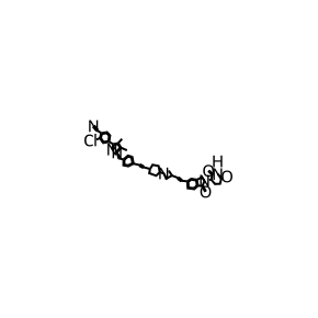 Cc1c(-c2ccc(C#N)c(Cl)c2)nn(Cc2ccc(C#CC3CCC(N4CC(C#Cc5ccc6c(c5)CN(C5CCC(=O)NC5=O)C6=O)C4)CC3)cc2)c1C